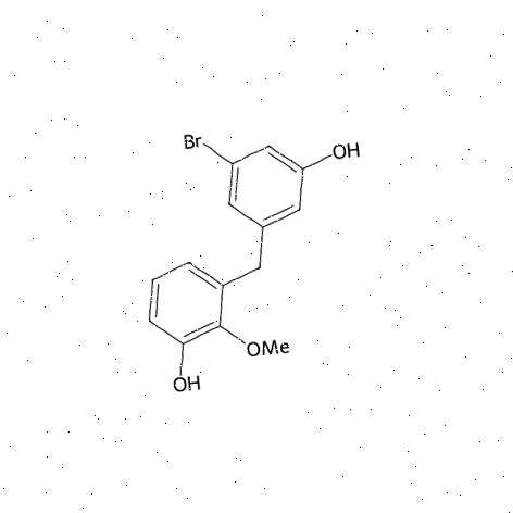 COc1c(O)cccc1Cc1cc(O)cc(Br)c1